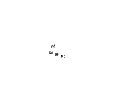 [Pd].[Pt].[Rh].[Ru]